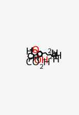 [2H]C([2H])([2H])CCCCc1cc(O)c2c(c1)OC(C)(C)[C@@H]1CCC(C(=O)O)=C[C@@H]21